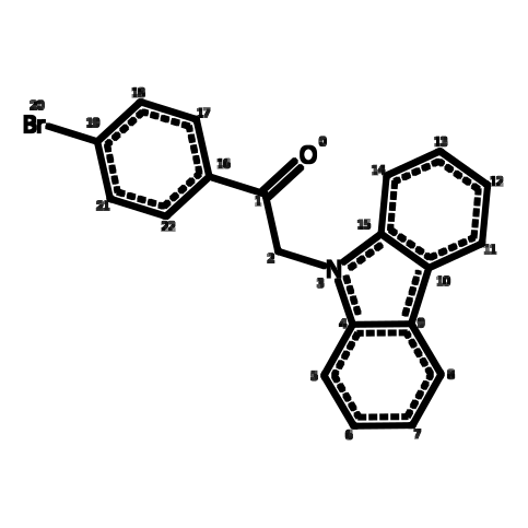 O=C(Cn1c2ccccc2c2ccccc21)c1ccc(Br)cc1